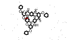 CSN1c2cc3c(cc2B2c4cnccc4Oc4cc(Oc5ccccc5)cc1c42)B1c2cc4c(cc2N(SC)c2cc(Oc5ccccc5)cc(c21)N3SC)Nc1cc(Oc2ccccc2)cc2c1B4c1cnccc1O2